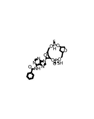 O=C(Nc1ncnc2c1ncn2C1OC2CO[PH](=S)OC3COC(COP(=O)(S)OC1C2)C3)c1ccccc1